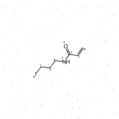 C=CC(=O)NCCCI